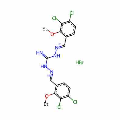 Br.CCOc1c(/C=N/NC(=N)N/N=C/c2ccc(Cl)c(Cl)c2OCC)ccc(Cl)c1Cl